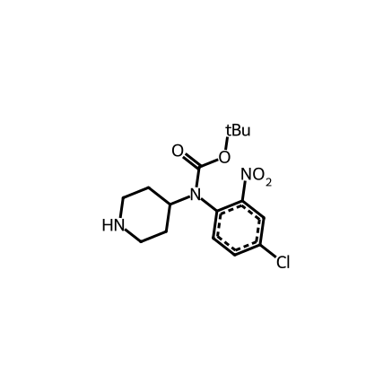 CC(C)(C)OC(=O)N(c1ccc(Cl)cc1[N+](=O)[O-])C1CCNCC1